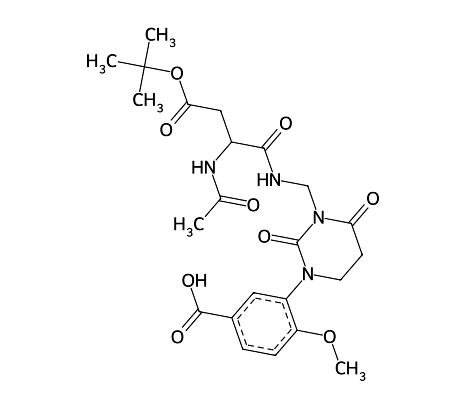 COc1ccc(C(=O)O)cc1N1CCC(=O)N(CNC(=O)C(CC(=O)OC(C)(C)C)NC(C)=O)C1=O